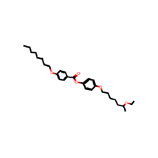 CCCCCCCCOc1ccc(C(=O)Oc2ccc(OCCCCCC(C)OCC)cc2)cc1